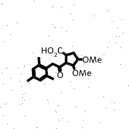 COC1CC(C(=O)O)C(C(=O)Cc2c(C)cc(C)cc2C)C1OC